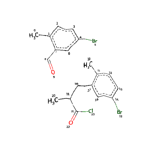 Cc1ccc(Br)cc1C=O.Cc1ccc(Br)cc1CC(C)C(=O)Cl